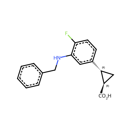 O=C(O)[C@@H]1C[C@H]1c1ccc(F)c(NCc2ccccc2)c1